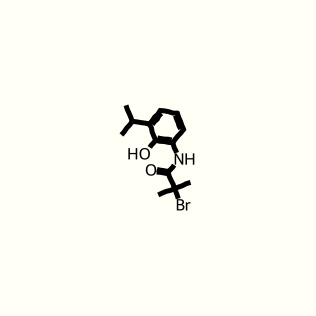 CC(C)c1cccc(NC(=O)C(C)(C)Br)c1O